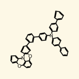 c1ccc(-c2ccc(N(c3ccc(-c4ccccc4)cc3)c3ccc(-c4cccc(-c5ccc6c(c5)Oc5cccc7c5N6c5ccccc5O7)c4)cc3)cc2)cc1